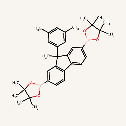 Cc1cc(C)cc(C2(C)c3cc(B4OC(C)(C)C(C)(C)O4)ccc3-c3ccc(B4OC(C)(C)C(C)(C)O4)cc32)c1